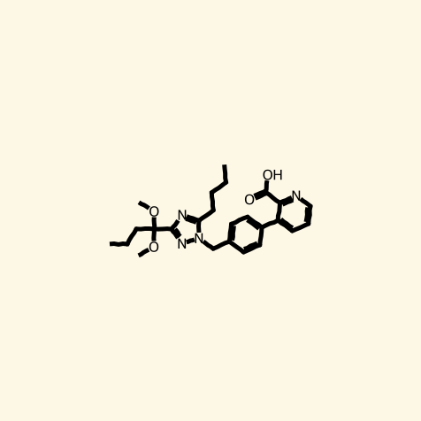 CCCCc1nc(C(CCC)(OC)OC)nn1Cc1ccc(-c2cccnc2C(=O)O)cc1